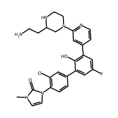 Cn1ccn(-c2ccc(-c3cc(F)cc(-c4ccnc(N5CCNC(CCN)C5)c4)c3O)cc2Cl)c1=O